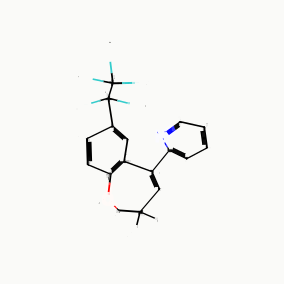 CC1(C)C=C(c2ccccn2)c2cc(C(F)(F)C(F)(F)F)ccc2OC1